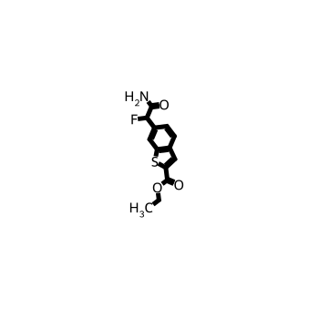 CCOC(=O)c1cc2ccc(C(F)C(N)=O)cc2s1